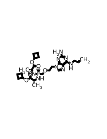 C=CCNc1nc(N)nc2c1ncn2CCOCP(=O)(N[C@@H](C)C(=O)OC1CCC1)N[C@@H](C)C(=O)OC1CCC1